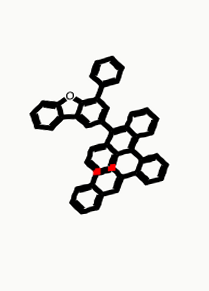 c1ccc(-c2cc(-c3c4ccccc4c(-c4ccccc4-c4ccc5ccccc5c4)c4ccccc34)cc3c2oc2ccccc23)cc1